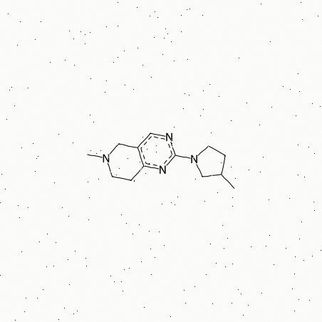 CC1CCN(c2ncc3c(n2)CCN(C)C3)C1